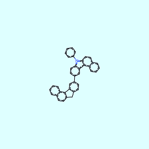 c1ccc(-n2c3ccc(-c4ccc5c(c4)-c4c(ccc6ccccc46)C5)cc3c3c4ccccc4ccc32)cc1